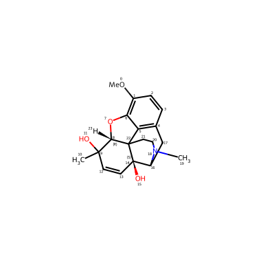 COc1ccc2c3c1O[C@H]1C(C)(O)C=C[C@@]4(O)C(C2)N(C)CCC314